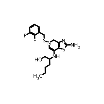 CCCCC(CO)NC1=CN(SCc2cccc(F)c2F)Cc2nc(N)sc21